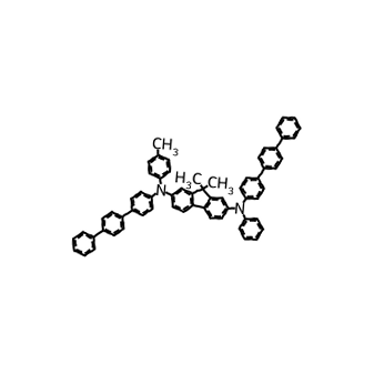 Cc1ccc(N(c2ccc(-c3ccc(-c4ccccc4)cc3)cc2)c2ccc3c(c2)C(C)(C)c2cc(N(c4ccccc4)c4ccc(-c5ccc(-c6ccccc6)cc5)cc4)ccc2-3)cc1